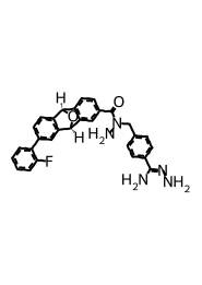 NN=C(N)c1ccc(CN(N)C(=O)c2ccc3c(c2)[C@@H]2O[C@H]3c3ccc(-c4ccccc4F)cc32)cc1